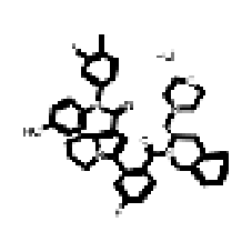 Cc1ccc(N(C(=O)c2cc(-c3cc(F)ccc3C(=O)N3Cc4ccccc4C[C@H]3CN3CCOCC3)n3c2CCCC3)c2ccc(O)cc2)cc1F.Cl